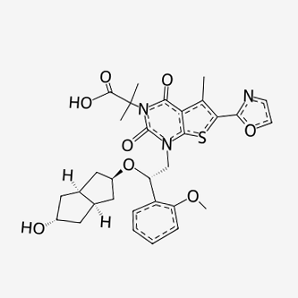 COc1ccccc1[C@@H](Cn1c(=O)n(C(C)(C)C(=O)O)c(=O)c2c(C)c(-c3ncco3)sc21)O[C@H]1C[C@H]2C[C@H](O)C[C@H]2C1